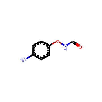 Nc1ccc(ONC=O)cc1